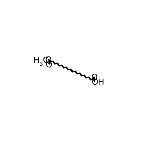 COC(=O)CCCCCCCCC=CCCCCCCCCC(=O)O